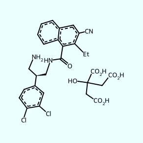 CCc1c(C#N)cc2ccccc2c1C(=O)NC[C@H](CN)c1ccc(Cl)c(Cl)c1.O=C(O)CC(O)(CC(=O)O)C(=O)O